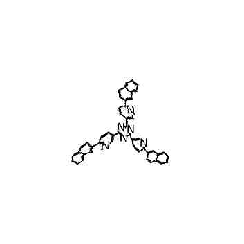 c1ccc2cc(-c3ccc(-c4nc(-c5ccc(-c6ccc7ccccc7c6)nc5)nc(-c5ccc(-c6ccc7ccccc7c6)nc5)n4)cn3)ccc2c1